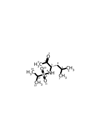 CC(=O)[C@H](CC(C)C)NS(=O)(=O)C(C)C